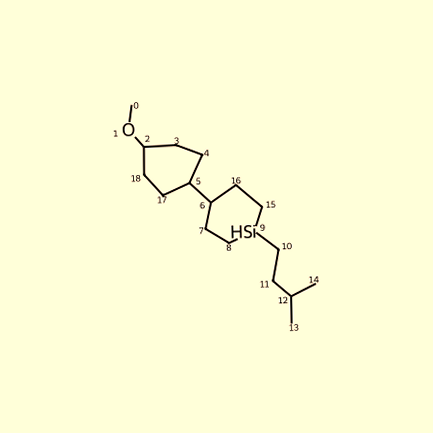 COC1CCC(C2CC[SiH](CCC(C)C)CC2)CC1